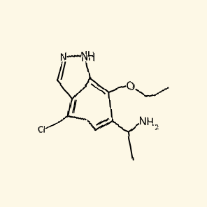 CCOc1c(C(C)N)cc(Cl)c2cn[nH]c12